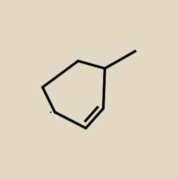 CC1C=C[CH]CC1